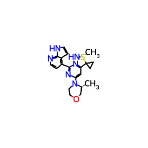 C[C@@H]1COCCN1c1cc(C2(S(C)=N)CC2)nc(-c2ccnc3[nH]ccc23)n1